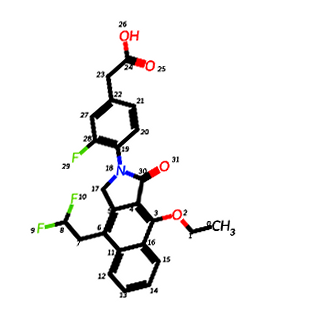 CCOc1c2c(c(CC(F)F)c3ccccc13)CN(c1ccc(CC(=O)O)cc1F)C2=O